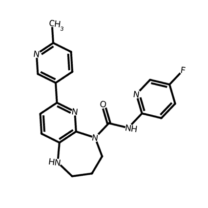 Cc1ccc(-c2ccc3c(n2)N(C(=O)Nc2ccc(F)cn2)CCCN3)cn1